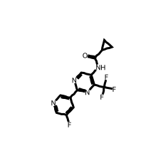 O=C(Nc1cnc(-c2cncc(F)c2)nc1C(F)(F)F)C1CC1